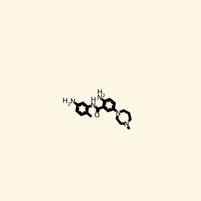 Cc1ccc(N)cc1NC(=O)c1cc(N2CCCN(C)CC2)ccc1N